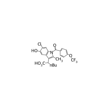 CCCCC(C(=O)O)c1c(C)n(C(=O)c2ccc(OC(F)(F)F)cc2)c2cc(Cl)c(O)cc12